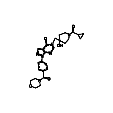 O=C(c1ccc(-n2ncc3c(=O)n(CC4(O)CCN(C(=O)C5CC5)CC4)cnc32)cc1)N1CCOCC1